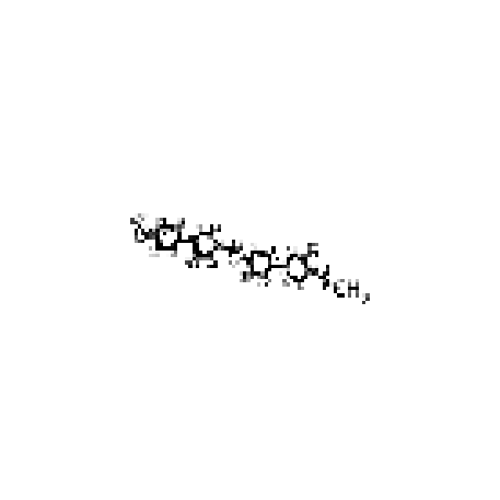 CCOc1ccc(-c2ccc(OCc3ccc(-c4ccc(OC)cc4)c(F)c3F)cc2)cc1F